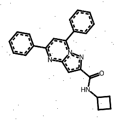 O=C(NC1CCC1)c1cc2nc(-c3ccccc3)cc(-c3ccccc3)n2n1